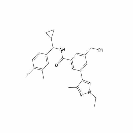 CCn1cc(-c2cc(CO)cc(C(=O)NC(c3ccc(F)c(C)c3)C3CC3)c2)c(C)n1